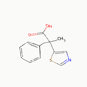 CC(C(=O)O)(c1ccccc1)c1cncs1